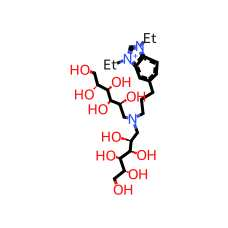 CCn1c[n+](CC)c2cc(CCCN(C[C@H](O)[C@@H](O)[C@H](O)[C@H](O)CO)C[C@H](O)[C@@H](O)[C@H](O)[C@H](O)CO)ccc21